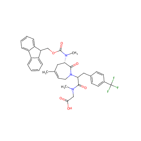 CC1=CCN(C(Cc2ccc(C(F)(F)F)cc2)C(=O)N(C)CC(=O)O)C(=O)[C@@H](N(C)C(=O)OCC2c3ccccc3-c3ccccc32)C1